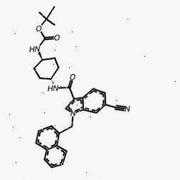 CC(C)(C)OC(=O)N[C@H]1CC[C@H](NC(=O)c2cn(Cc3cccc4ccccc34)c3cc(C#N)ccc23)CC1